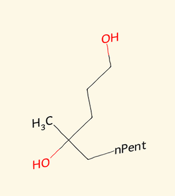 CCCCCCC(C)(O)CCCO